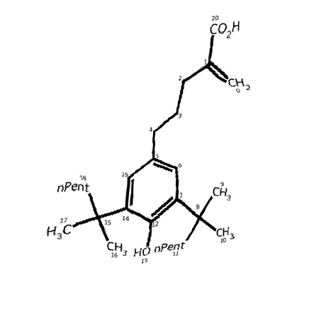 C=C(CCCc1cc(C(C)(C)CCCCC)c(O)c(C(C)(C)CCCCC)c1)C(=O)O